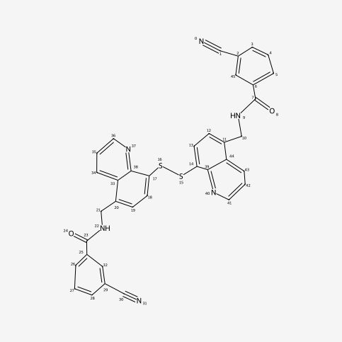 N#Cc1cccc(C(=O)NCc2ccc(SSc3ccc(CNC(=O)c4cccc(C#N)c4)c4cccnc34)c3ncccc23)c1